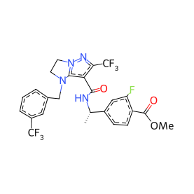 COC(=O)c1ccc([C@H](C)NC(=O)c2c(C(F)(F)F)nn3c2N(Cc2cccc(C(F)(F)F)c2)CC3)cc1F